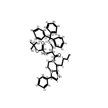 CCCCC1c2ncc(-c3ccccc3)n2CCN1C(=O)[C@H](CSC(c1ccccc1)(c1ccccc1)c1ccccc1)NC(=O)OC(C)(C)C